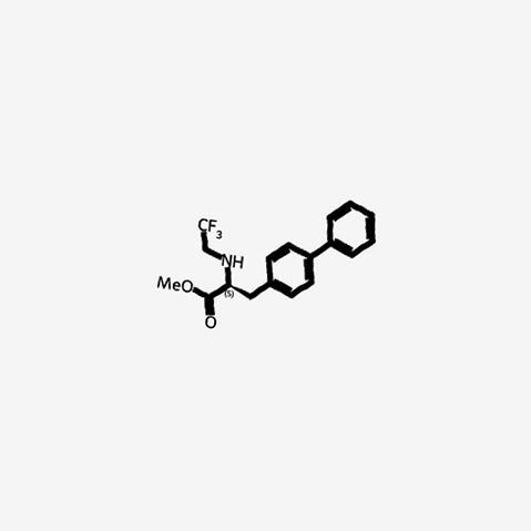 COC(=O)[C@H](Cc1ccc(-c2ccccc2)cc1)NCC(F)(F)F